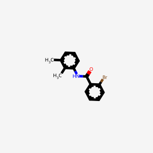 Cc1cccc(NC(=O)c2ccccc2Br)c1C